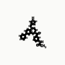 CC(=O)Nc1cccc(C(=O)N2CCN(Cc3c[nH]cn3)c3ccc(-c4ccccc4)cc3C2)c1